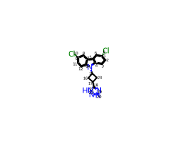 Clc1ccc2c(c1)c1cc(Cl)ccc1n2C1CC(c2nnn[nH]2)C1